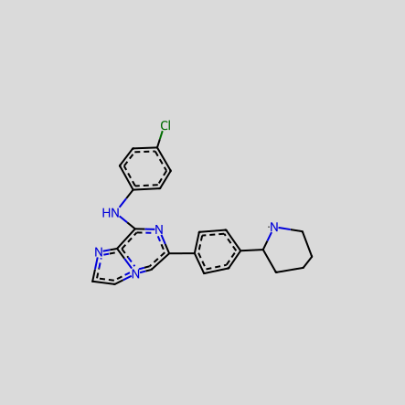 Clc1ccc(Nc2nc(-c3ccc(C4CCCC[N]4)cc3)cn3ccnc23)cc1